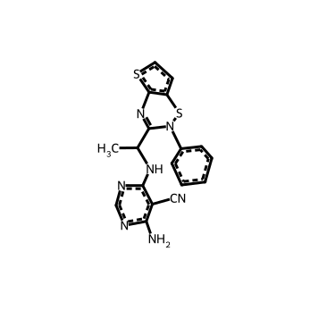 CC(Nc1ncnc(N)c1C#N)C1=Nc2sccc2SN1c1ccccc1